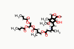 CCCC(=O)OCC(COC(=O)CCC)OC(=O)CC(C)COC(=O)CC/C(C)=C/Cc1c(O)c2c(c(C)c1OC)COC2=O